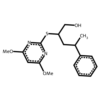 COc1cc(OC)nc(SC(CO)CC(C)c2ccccc2)n1